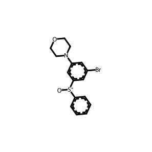 [O-][S+](c1ccccc1)c1cc(Br)cc(N2CCOCC2)c1